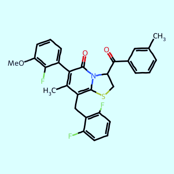 COc1cccc(-c2c(C)c(Cc3c(F)cccc3F)c3n(c2=O)C(C(=O)c2cccc(C)c2)CS3)c1F